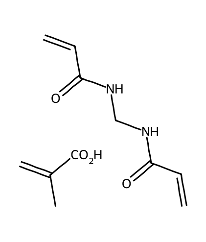 C=C(C)C(=O)O.C=CC(=O)NCNC(=O)C=C